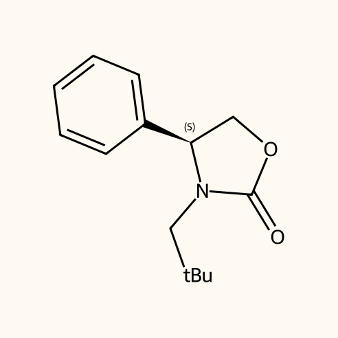 CC(C)(C)CN1C(=O)OC[C@@H]1c1ccccc1